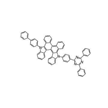 c1ccc(-c2ccc(-n3c4ccccc4c4c5c(c6ccccc6c43)c3ccccc3c3c5c4ccccc4n3-c3ccc(-c4nc(-c5ccccc5)nc(-c5ccccc5)n4)cc3)cc2)cc1